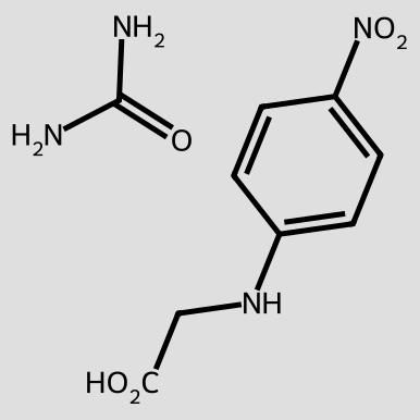 NC(N)=O.O=C(O)CNc1ccc([N+](=O)[O-])cc1